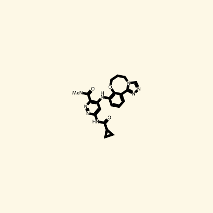 CNC(=O)c1nnc(NC(=O)C2CC2)cc1Nc1cccc2c1OCCCn1cnnc1-2